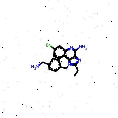 CCc1nc2c(N)nc3cc(Br)ccc3c2n1Cc1ccc(CN)cc1